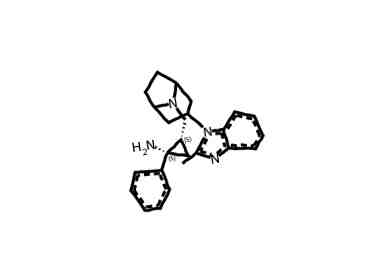 Cc1nc2ccccc2n1C1CC2CCC(C1)N2C[C@@H]1C[C@@]1(N)c1ccccc1